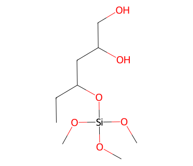 CCC(CC(O)CO)O[Si](OC)(OC)OC